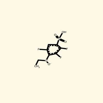 CC[S+]([O-])c1c(F)cc(S(=O)(=O)O)c(F)c1F